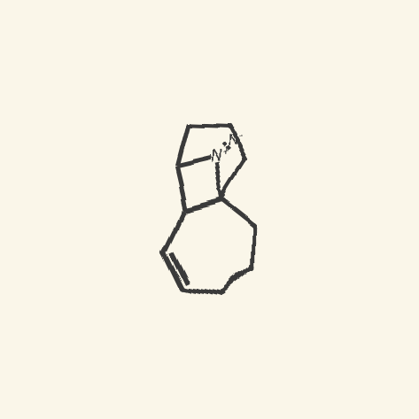 [N-]=[N+]1C2CCCC13CCCC=CC23